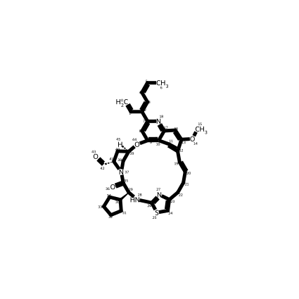 C=C/C(=C\C=C/C)c1cc2c3cc(c(OC)cc3n1)/C=C/CCc1csc(n1)N[C@@H](C1CCCC1)C(=O)N1C[C@@H](C[C@H]1C=O)O2